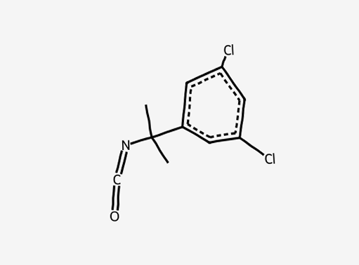 CC(C)(N=C=O)c1cc(Cl)cc(Cl)c1